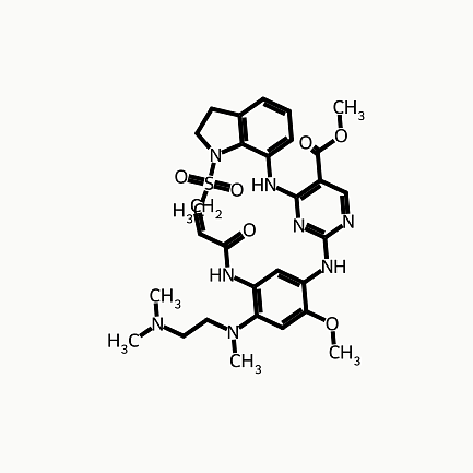 C=CC(=O)Nc1cc(Nc2ncc(C(=O)OC)c(Nc3cccc4c3N(S(C)(=O)=O)CC4)n2)c(OC)cc1N(C)CCN(C)C